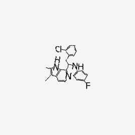 Cc1[nH]c2c(C(Cc3ccccc3Cl)Nc3ccc(F)cc3)nccc2c1C